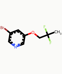 CC(F)(F)COc1cncc(Br)c1